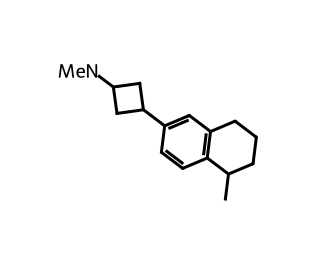 CNC1CC(c2ccc3c(c2)CCCC3C)C1